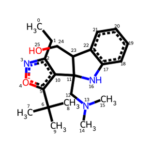 CCc1noc(C(C)(C)C)c1C1(CN(C)C)Nc2ccccc2C1CO